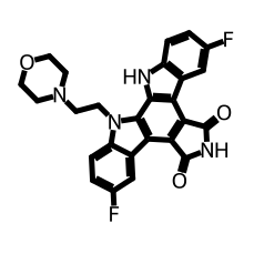 O=C1NC(=O)c2c1c1c3cc(F)ccc3[nH]c1c1c2c2cc(F)ccc2n1CCN1CCOCC1